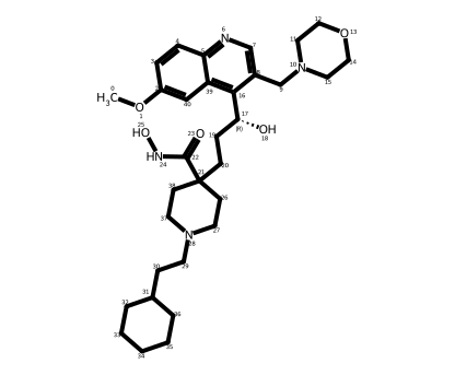 COc1ccc2ncc(CN3CCOCC3)c([C@H](O)CCC3(C(=O)NO)CCN(CCC4CCCCC4)CC3)c2c1